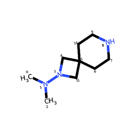 CN(C)N1CC2(CCNCC2)C1